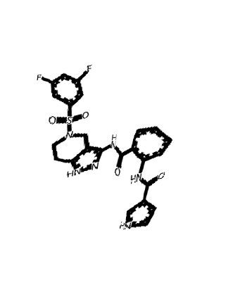 O=C(Nc1ccccc1C(=O)Nc1n[nH]c2c1CN(S(=O)(=O)c1cc(F)cc(F)c1)CC2)c1cc[nH]c1